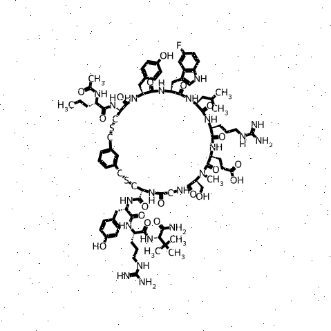 CCC[C@H](NC(C)=O)C(=O)N[C@H]1CSCc2cccc(c2)CSC[C@@H](C(=O)N[C@@H](Cc2ccc(O)cc2)C(=O)N[C@@H](CCCNC(=N)N)C(=O)N[C@H](C(N)=O)C(C)(C)C)NC(=O)CNC(=O)[C@H](CO)N(C)C(=O)[C@H](CCC(=O)O)NC(=O)[C@H](CCCNC(=N)N)NC(=O)[C@H](CC(C)C)NC(=O)[C@H](Cc2c[nH]c3ccc(F)cc23)NC(=O)[C@H](Cc2ccc(O)cc2)NC1=O